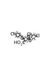 O=C(O)[C@H]1C[C@H](S(=O)(=O)c2ccc(Cl)cc2Cl)C[C@@H]1OCc1ccc(Cl)cc1